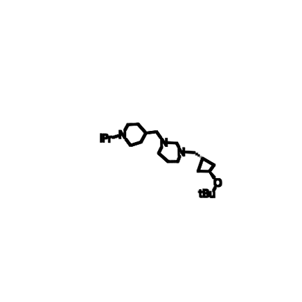 CC(C)N1CCC(CN2CCCN(C[C@H]3C[C@H](OC(C)(C)C)C3)C2)CC1